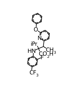 CC(C)C(Nc1ccc(C(F)(F)F)cc1F)(C(=O)O)C(C)c1cccc(Oc2ccccc2)n1